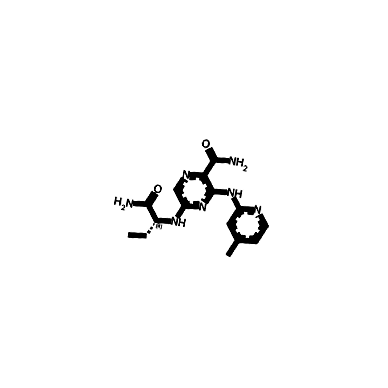 CC[C@@H](Nc1cnc(C(N)=O)c(Nc2cc(C)ccn2)n1)C(N)=O